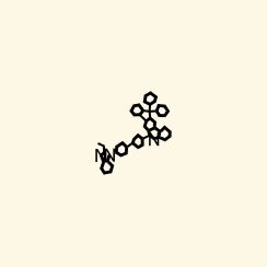 CCc1nc2ccccc2n1-c1ccc(-c2ccc(-c3nc4ccccc4c4cc5c(cc34)-c3ccccc3C5(c3ccccc3)c3ccccc3)cc2)cc1